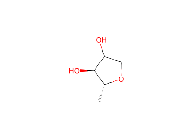 C[C@H]1OCC(O)[C@@H]1O